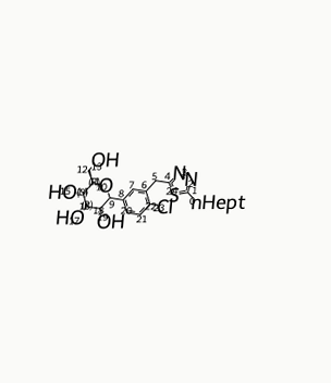 CCCCCCCc1nnc(Cc2cc(C3O[C@H](CO)[C@@H](O)[C@H](O)C3O)ccc2Cl)s1